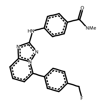 CNC(=O)c1ccc(Nc2nc3cccc(-c4ccc(CF)cc4)n3n2)cc1